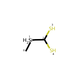 C[SiH2]C(S)S